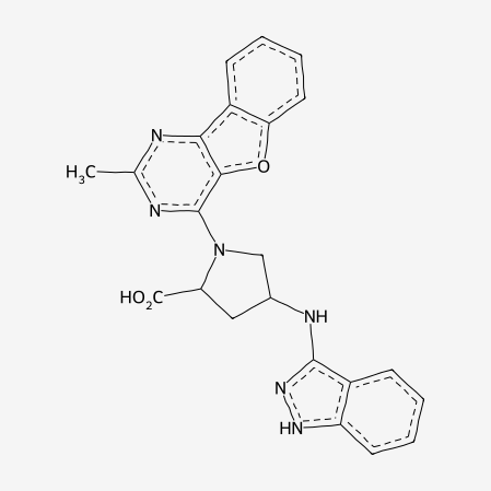 Cc1nc(N2CC(Nc3n[nH]c4ccccc34)CC2C(=O)O)c2oc3ccccc3c2n1